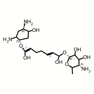 CC1O[C@H](OC(O)/C=C/CC/C=C(\O)O[C@H]2CC(O)[C@H](N)CC2N)C(O)C(O)[C@@H]1N